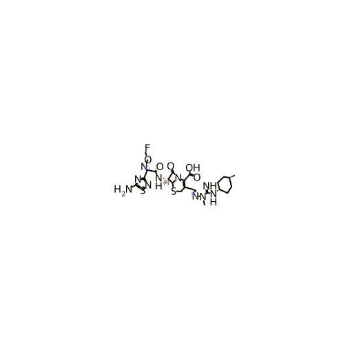 CN(/N=C/C1=C(C(=O)O)N2C(=O)[C@@H](NC(=O)/C(=N\OCF)c3nsc(N)n3)C2SC1)C(=N)N[C@H]1CC[C@H](C)CC1